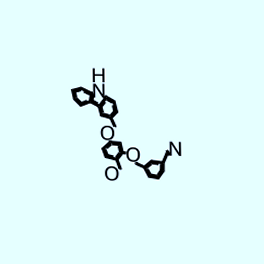 N#Cc1cccc(COc2cc(OCc3ccc4[nH]c5ccccc5c4c3)ccc2C=O)c1